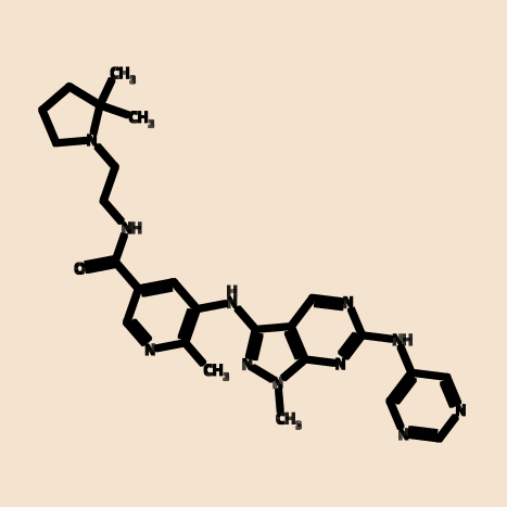 Cc1ncc(C(=O)NCCN2CCCC2(C)C)cc1Nc1nn(C)c2nc(Nc3cncnc3)ncc12